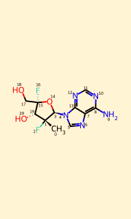 C[C@]1(F)[C@H](n2cnc3c(N)ncnc32)O[C@](F)(CO)[C@H]1O